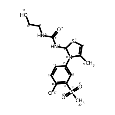 CC1=CSC(NC(=O)NCCO)N1c1ccc(Cl)c(S(C)(=O)=O)c1